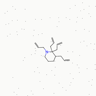 C=CCC1[CH]CCN(CC=C)C1(CC=C)CC=C